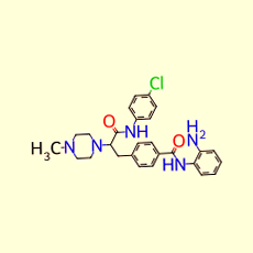 CN1CCN(C(Cc2ccc(C(=O)Nc3ccccc3N)cc2)C(=O)Nc2ccc(Cl)cc2)CC1